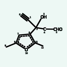 C#CC(O)(CC=O)c1cc(C)oc1C